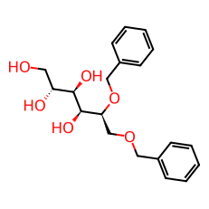 OC[C@@H](O)[C@@H](O)[C@H](O)[C@H](COCc1ccccc1)OCc1ccccc1